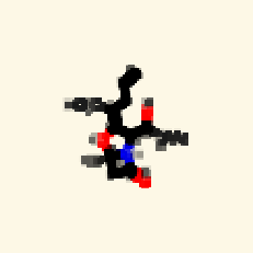 C=CCC(C(=O)O)=C1O[C@@H]2CC(=O)N2C1C(=O)OC